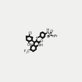 CCCS(=O)(=O)Nc1ccc(Sc2c(-c3cc(Cl)ccc3O)c3cc(C(F)(F)F)ccc3[nH]c2=O)cc1